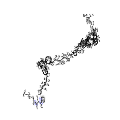 CCCCC/C=C\C/C=C\CCCCCCCCOC[C@@H](CN(C)C)OCCCCCCCCOC1CC[C@]2(C)C(=CC[C@@H]3[C@H]4CC[C@@H]([C@@H](C)CCCC(C)C)[C@]4(C)CC[C@H]32)C1